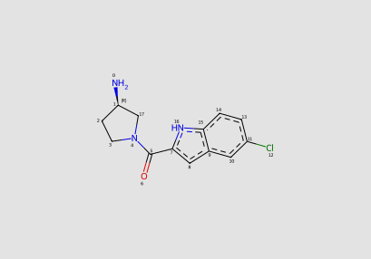 N[C@@H]1CCN(C(=O)c2cc3cc(Cl)ccc3[nH]2)C1